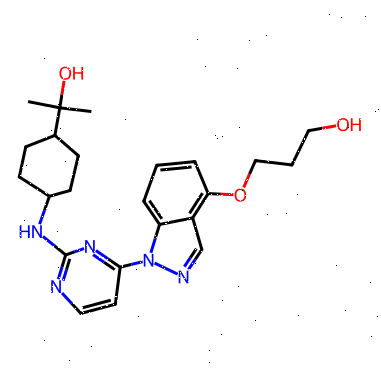 CC(C)(O)C1CCC(Nc2nccc(-n3ncc4c(OCCCO)cccc43)n2)CC1